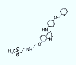 CS(=O)(=O)CCNCCCOc1ccc2c(Nc3ccc(OCc4ccccc4)cc3)ncnc2c1